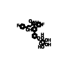 O=C1N[C@](c2ccc(F)cc2)(c2ccc(-c3cccc(OC[C@H]4O[C@H](O)[C@H](O)[C@@H](O)[C@@H]4O)c3)cc2)[C@H]1CC[C@H](O)c1ccc(F)cc1